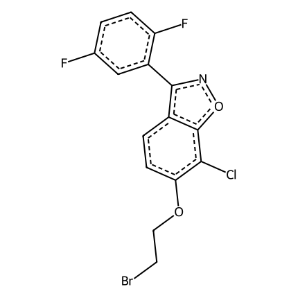 Fc1ccc(F)c(-c2noc3c(Cl)c(OCCBr)ccc23)c1